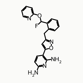 Nc1ccc(-c2cc(Cc3ccccc3C(F)Oc3ccccn3)no2)c(N)n1